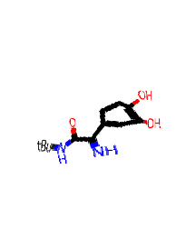 CC(C)(C)NC(=O)C(=N)c1ccc(O)c(O)c1